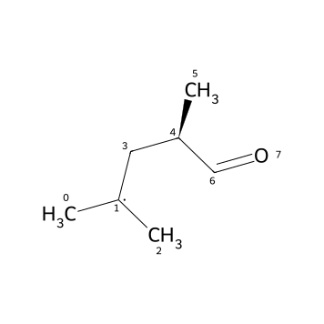 C[C](C)C[C@@H](C)C=O